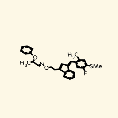 CSc1cc(C)c(/C=C2/C=C(CCON=CC(C)Oc3ccccc3)c3ccccc32)cc1F